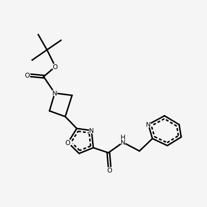 CC(C)(C)OC(=O)N1CC(c2nc(C(=O)NCc3ccccn3)co2)C1